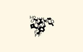 CC1CN(c2nc3nc(C(=O)O)nc(N[C@H](C)C4CCC4)c3n2Cc2ccc(C(F)(F)F)cc2)CCO1